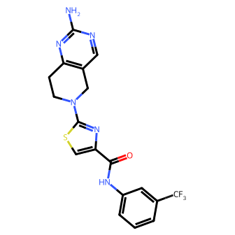 Nc1ncc2c(n1)CCN(c1nc(C(=O)Nc3cccc(C(F)(F)F)c3)cs1)C2